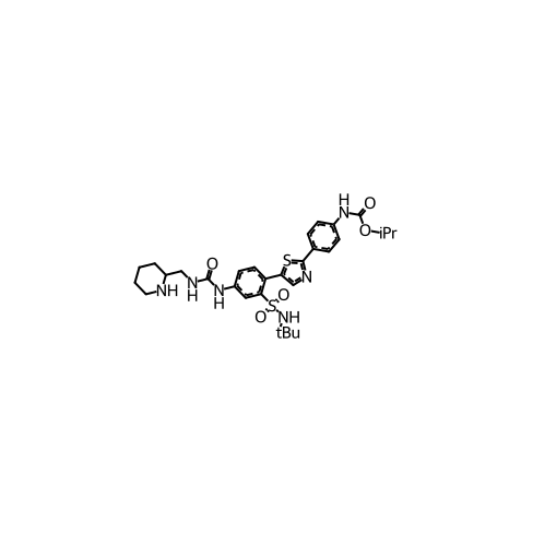 CC(C)OC(=O)Nc1ccc(-c2ncc(-c3ccc(NC(=O)NCC4CCCCN4)cc3S(=O)(=O)NC(C)(C)C)s2)cc1